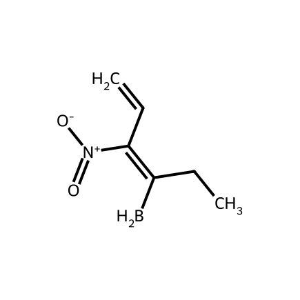 B/C(CC)=C(/C=C)[N+](=O)[O-]